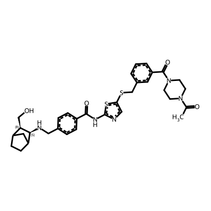 CC(=O)N1CCN(C(=O)c2cccc(CSc3cnc(NC(=O)c4ccc(CN[C@H]5C6CCC(C6)[C@H]5CO)cc4)s3)c2)CC1